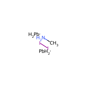 CN.II.[PbH2].[PbH2]